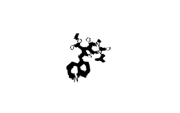 CCOC(=O)c1c(Cc2cccc3ncccc23)sc2c1c(=O)n(C)c(=O)n2CC(C)C